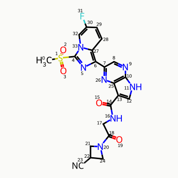 CS(=O)(=O)c1nc(-c2cnc3[nH]cc(C(=O)NCC(=O)N4CC(C#N)C4)c3n2)c2ccc(F)cn12